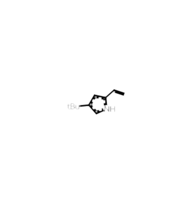 C=Cc1cc(C(C)(C)C)c[nH]1